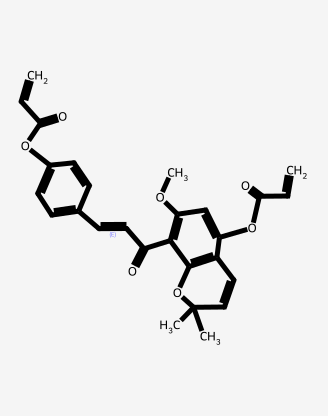 C=CC(=O)Oc1ccc(/C=C/C(=O)c2c(OC)cc(OC(=O)C=C)c3c2OC(C)(C)C=C3)cc1